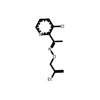 C=C(CC)CO/N=C(\C)c1ncccc1Cl